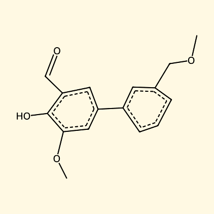 COCc1cccc(-c2cc(C=O)c(O)c(OC)c2)c1